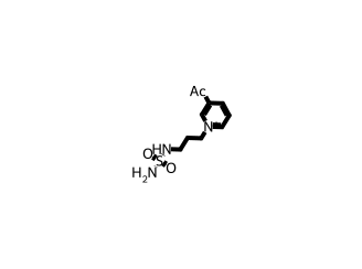 CC(=O)c1ccc[n+](CCCNS(N)(=O)=O)c1